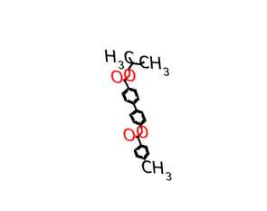 CCC(C)COC(=O)c1ccc(-c2ccc(OC(=O)c3ccc(C)cc3)cc2)cc1